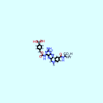 CCCC(NC(=O)c1ccc(N(C)Cc2cnc3nc(N)nc(NC(=O)OCc4ccc(B(O)O)cc4)c3n2)cc1)C(=O)O